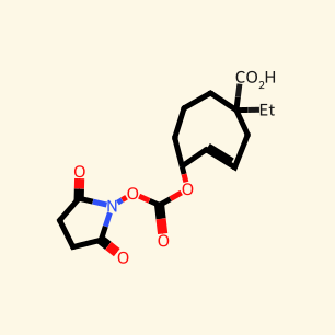 CCC1(C(=O)O)C/C=C/C(OC(=O)ON2C(=O)CCC2=O)CCC1